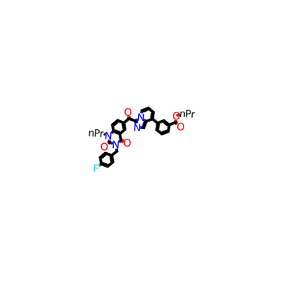 CCCOC(=O)c1cccc(-c2cccn3c(C(=O)c4ccc5c(c4)c(=O)n(Cc4ccc(F)cc4)c(=O)n5CCC)ncc23)c1